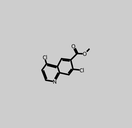 COC(=O)c1cc2c(Cl)ccnc2cc1Cl